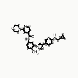 Cc1ccc(NC(=O)c2ccnc(N3CCOCC3)c2)cc1-n1cc(-c2ccc(NCC3CC3)nc2)nn1